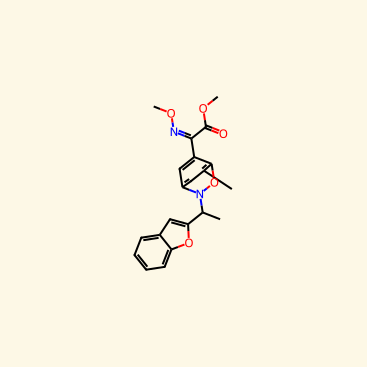 CON=C(C(=O)OC)c1cc2cc(C)c1ON2C(C)c1cc2ccccc2o1